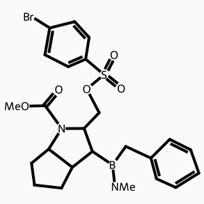 CNB(Cc1ccccc1)C1C2CCCC2N(C(=O)OC)C1COS(=O)(=O)c1ccc(Br)cc1